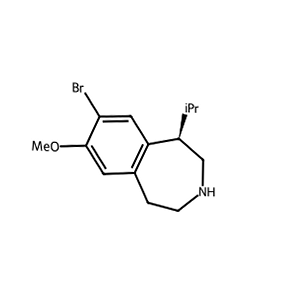 COc1cc2c(cc1Br)[C@@H](C(C)C)CNCC2